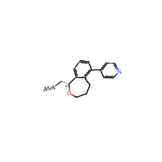 CNC[C@H]1OCCCc2c(-c3ccncc3)cccc21